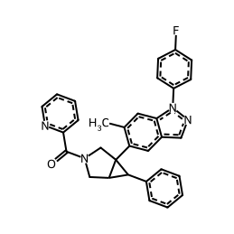 Cc1cc2c(cnn2-c2ccc(F)cc2)cc1C12CN(C(=O)c3ccccn3)CC1C2c1ccccc1